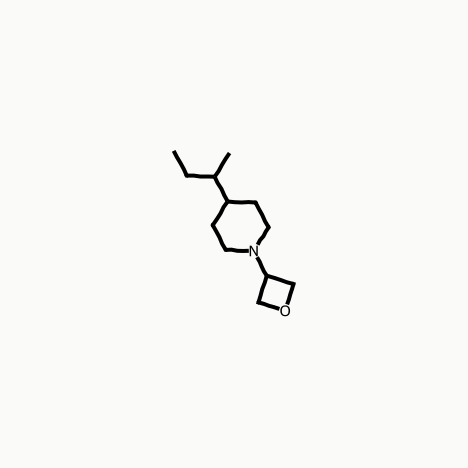 CCC(C)C1CCN(C2COC2)CC1